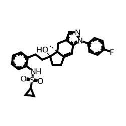 C[C@]12Cc3cnn(-c4ccc(F)cc4)c3C=C1CC[C@@]2(O)CCc1ccccc1NS(=O)(=O)C1CC1